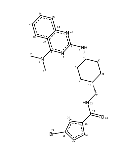 CN(C)c1nc(N[C@H]2CC[C@@H](CNC(=O)c3ccc(Br)s3)CC2)nc2ccccc12